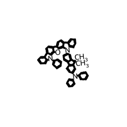 CC1(C)c2cc(N(c3ccccc3)c3ccccc3)ccc2-c2ccc(-n3c4ccccc4c4ccc5c6ccc7c8ccccc8n(-c8ccccc8)c7c6oc5c43)cc21